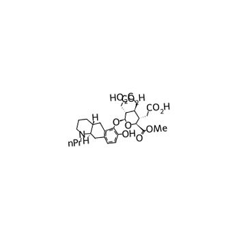 CCCN1CCC[C@@H]2Cc3c(ccc(O)c3O[C@@H]3O[C@H](C(=O)OC)[C@@H](CC(=O)O)[C@H](CC(=O)O)[C@H]3CC(=O)O)C[C@H]21